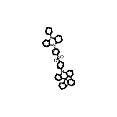 O=S(=O)(c1ccc(N2c3ccccc3B(c3ccccc3)c3ccccc32)cc1)c1ccc(N2c3ccccc3C(c3ccccc3)(c3ccccc3)c3ccccc32)cc1